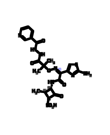 C[C@H]1[C@H](NC(=O)/C(=N\OC(C)(C)C(=O)NNC(=O)c2cccnc2)c2csc(N)n2)C(=O)N1S(=O)(=O)O